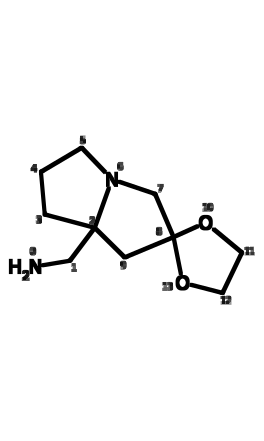 NCC12CCCN1CC1(C2)OCCO1